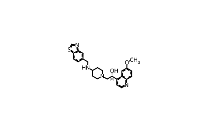 COc1ccc2nccc([C@@H](O)CN3CCC(NCc4ccc5scnc5c4)CC3)c2c1